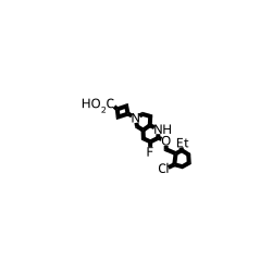 CCC1CCCC(Cl)C1COC1NC2CCN(C3CC(C(=O)O)C3)CC2CC1F